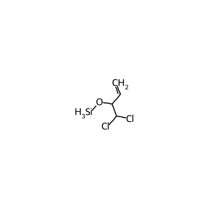 C=CC(O[SiH3])C(Cl)Cl